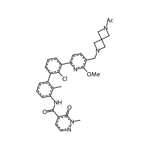 COc1nc(-c2cccc(-c3cccc(NC(=O)c4ccnn(C)c4=O)c3C)c2Cl)ccc1CN1CC2(C1)CN(C(C)=O)C2